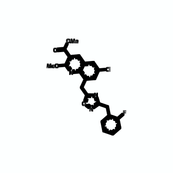 COC(=O)c1cc2cc(Cl)cc(Cc3nc(Cc4ccccc4F)no3)c2nc1OC